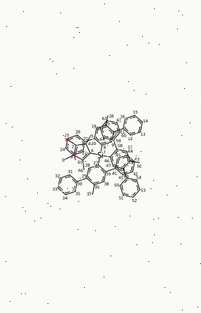 CC1=C(C)C(C)C([Si](c2cc(-c3ccccc3)c(C)cc2-c2ccccc2)(c2cc(-c3ccccc3)c(C)cc2-c2ccccc2)c2cc(-c3ccccc3)c(C)cc2-c2ccccc2)=C1C